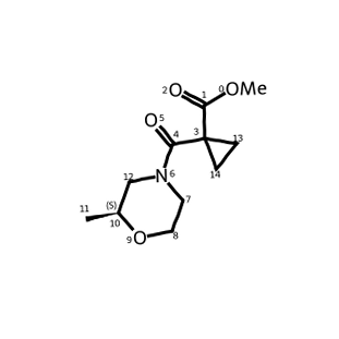 COC(=O)C1(C(=O)N2CCO[C@@H](C)C2)CC1